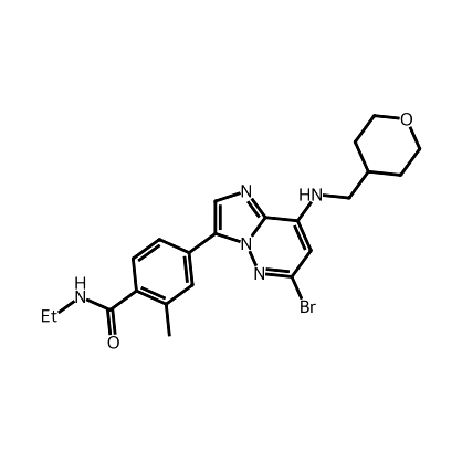 CCNC(=O)c1ccc(-c2cnc3c(NCC4CCOCC4)cc(Br)nn23)cc1C